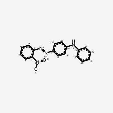 O=[N+]([O-])c1ccccc1N=Nc1ccc(Nc2ccccc2)cc1